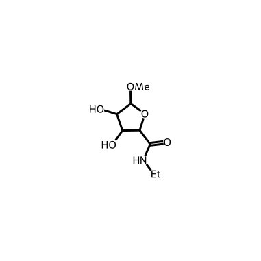 CCNC(=O)C1OC(OC)C(O)C1O